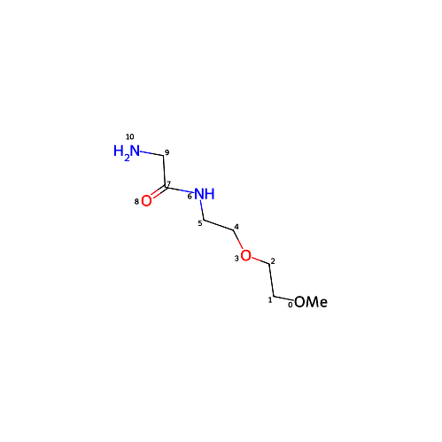 COCCOCCNC(=O)CN